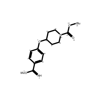 COC(=N)c1ccc(OC2CCN(C(=O)OC(C)(C)C)CC2)cc1